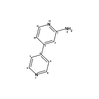 Nc1cc(-c2c[c]ncc2)ccn1